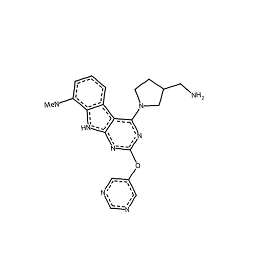 CNc1cccc2c1[nH]c1nc(Oc3cncnc3)nc(N3CCC(CN)C3)c12